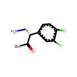 CCC(C)C(=O)[C@H](CN)c1ccc(Cl)c(Cl)c1